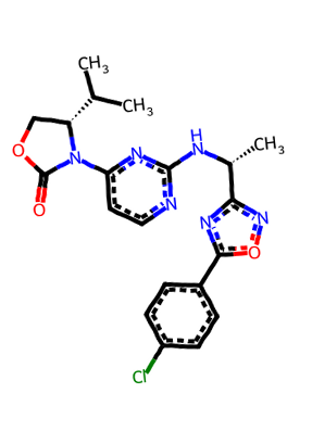 CC(C)[C@H]1COC(=O)N1c1ccnc(N[C@H](C)c2noc(-c3ccc(Cl)cc3)n2)n1